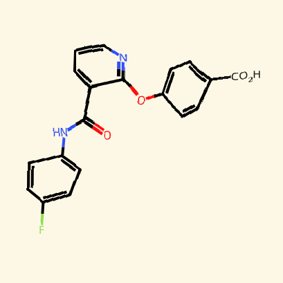 O=C(O)c1ccc(Oc2ncccc2C(=O)Nc2ccc(F)cc2)cc1